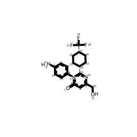 Nc1ccc(-n2c(=O)cc(CO)nc2[C@H]2CC[C@@H](C(F)(F)F)CC2)cc1